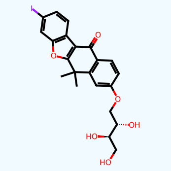 CC1(C)c2cc(OC[C@H](O)[C@H](O)CO)ccc2C(=O)c2c1oc1cc(I)ccc21